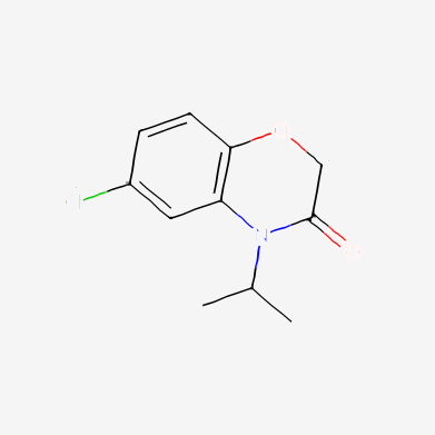 CC(C)N1C(=O)COc2ccc(Cl)cc21